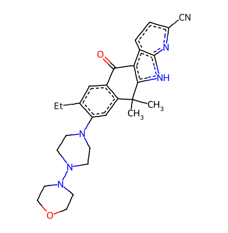 CCc1cc2c(cc1N1CCN(N3CCOCC3)CC1)C(C)(C)c1[nH]c3nc(C#N)ccc3c1C2=O